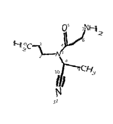 CCCN(C(=O)CN)C(C)C#N